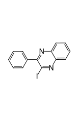 Ic1nc2ccccc2nc1-c1ccccc1